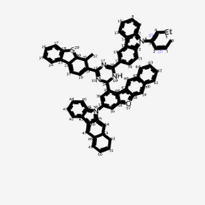 C/C=C\C(=C/CC)n1c2ccccc2c2cc(C3=NC(C4=CC=C5c6ccccc6SC5C4C)=NC(c4cc(-n5c6c(c7ccccc75)=CC5=CC=CCC5C=6)cc5oc6cc7ccccc7cc6c45)N3)ccc21